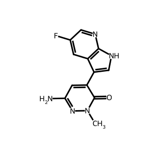 Cn1nc(N)cc(-c2c[nH]c3ncc(F)cc23)c1=O